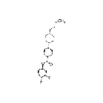 C=CCC[C@H]1CC[C@H](c2ccc(C(=O)Oc3ccc(F)c(F)c3)cc2)CC1